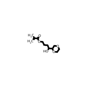 C=C(C)C(=O)OCCCC(O)C1COCCO1